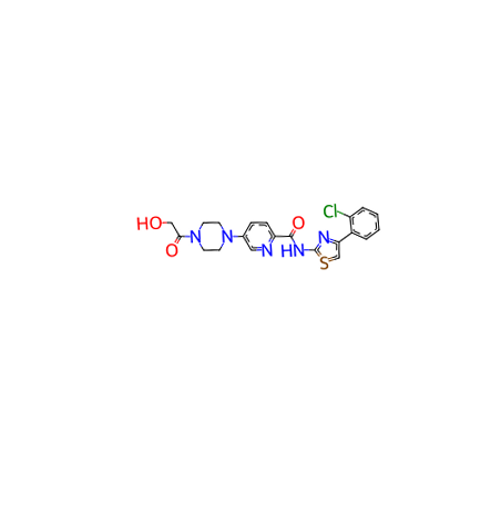 O=C(Nc1nc(-c2ccccc2Cl)cs1)c1ccc(N2CCN(C(=O)CO)CC2)cn1